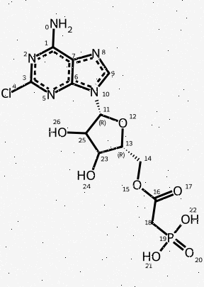 Nc1nc(Cl)nc2c1ncn2[C@@H]1O[C@H](COC(=O)CP(=O)(O)O)C(O)C1O